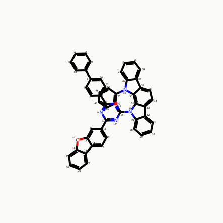 c1ccc(-c2ccc(-c3nc(-c4ccc5c(c4)oc4ccccc45)nc(-n4c5ccccc5c5ccc6c7ccccc7n(-c7ccccc7)c6c54)n3)cc2)cc1